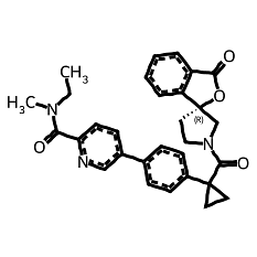 CCN(C)C(=O)c1ccc(-c2ccc(C3(C(=O)N4CC[C@@]5(C4)OC(=O)c4ccccc45)CC3)cc2)cn1